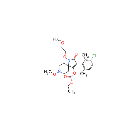 CCOC(=O)OC1=C(c2c(C)ccc(Cl)c2C)C(=O)N(OCCOC)C12CCN(OC)CC2